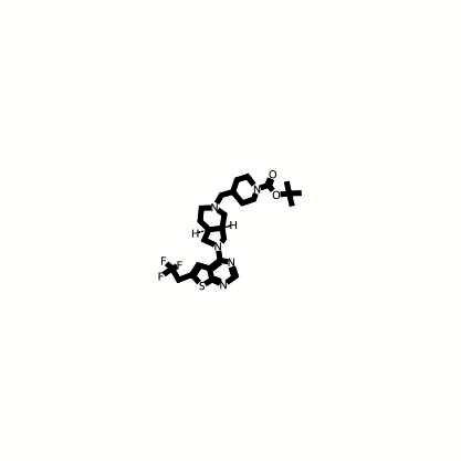 CC(C)(C)OC(=O)N1CCC(CN2CC[C@@H]3CN(c4ncnc5sc(CC(F)(F)F)cc45)C[C@@H]3C2)CC1